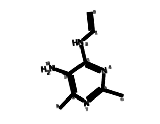 C=CNc1nc(C)nc(C)c1N